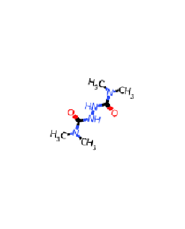 CN(C)C(=O)NNC(=O)N(C)C